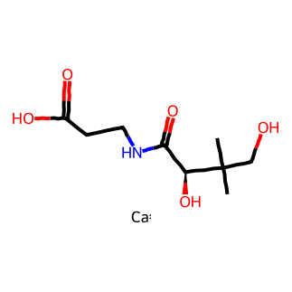 CC(C)(CO)[C@@H](O)C(=O)NCCC(=O)O.[Ca]